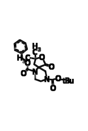 CC(C)(C)OC(=O)N1CCN(C(=O)OCc2ccccc2)C2(C1)CC(C)(C)OC2=O